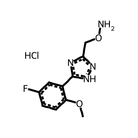 COc1ccc(F)cc1-c1nc(CON)n[nH]1.Cl